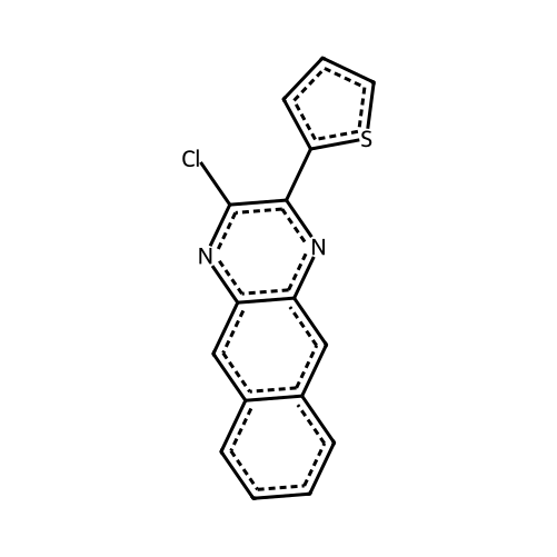 Clc1nc2cc3ccccc3cc2nc1-c1cccs1